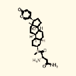 CN(C(=O)[C@@H](N)CC(N)=O)[C@H]1CC[C@@]2(C)[C@H](CC[C@@H]3[C@@H]2CC[C@]2(C)[C@@H](c4ccc(=O)oc4)CC[C@]32O)C1